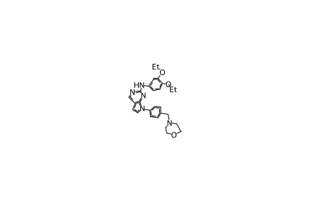 CCOc1ccc(Nc2ncc3ccn(-c4ccc(CN5CCOCC5)cc4)c3n2)cc1OCC